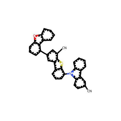 N#Cc1ccc2c(c1)c1ccccc1n2-c1cccc2c1sc1c(C#N)cc(-c3cccc4oc5ccccc5c34)cc12